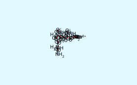 NCC(C(N)CS(=O)(=O)[O-])(C(N)CS(=O)(=O)[O-])S(=O)(=O)[O-].NCC(C(N)CS(=O)(=O)[O-])(C(N)CS(=O)(=O)[O-])S(=O)(=O)[O-].NCCS(=O)(=O)O.NCCS(=O)(=O)O.[Na+].[Na+].[Na+].[Na+].[Zn+2]